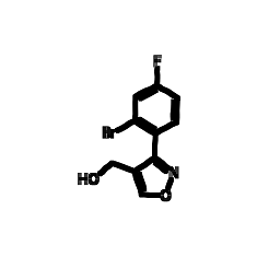 OCc1conc1-c1ccc(F)cc1Br